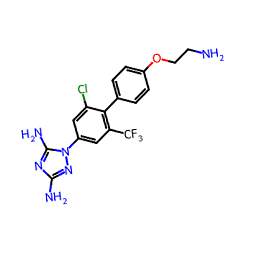 NCCOc1ccc(-c2c(Cl)cc(-n3nc(N)nc3N)cc2C(F)(F)F)cc1